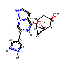 Cn1cc(-c2cn3nccc3c(OC34CC(=O)CCC3C4)n2)cn1